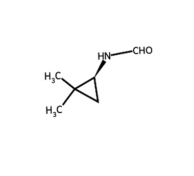 CC1(C)C[C@@H]1NC=O